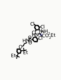 CCOC(=O)/C=C(/Nc1cc(S(=O)(=O)NCCCOc2ccc(C(C)(C)CC)cc2C(C)(C)CC)ccc1Cl)N(N)c1c(Cl)cc(Cl)cc1Cl